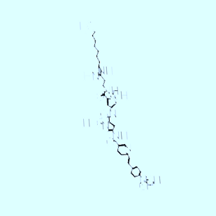 CCCCCCCCCNC(=N)CCNC(=O)c1cc(NC(=O)c2cc(NC(=O)c3ccc(/C=C/c4ccc(N(C)C)cc4)nc3)cn2C)cn1C